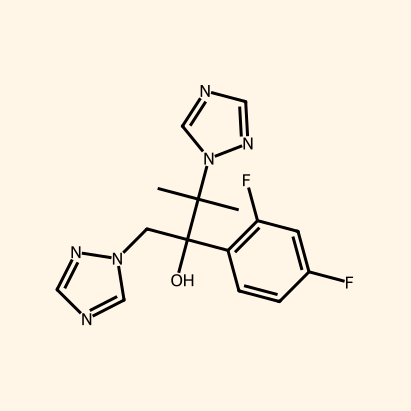 CC(C)(n1cncn1)C(O)(Cn1cncn1)c1ccc(F)cc1F